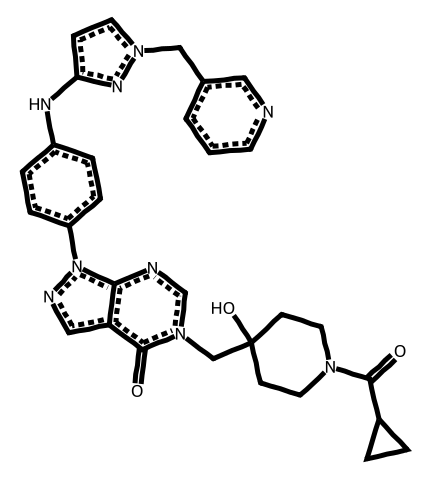 O=C(C1CC1)N1CCC(O)(Cn2cnc3c(cnn3-c3ccc(Nc4ccn(Cc5cccnc5)n4)cc3)c2=O)CC1